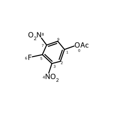 CC(=O)Oc1cc([N+](=O)[O-])c(F)c([N+](=O)[O-])c1